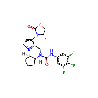 C[C@H]1COC(=O)N1c1cnn2c1CN(C(=O)Nc1cc(F)c(F)c(F)c1)[C@H]1CCC[C@H]12